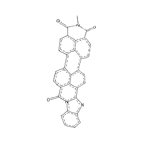 CN1C(=O)c2ccc3c4ccc5c(=O)n6c7ccccc7nc6c6ccc(c7ccc(c2c37)C1=O)c4c56